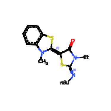 CCCC/N=C1\S/C(=C2/Sc3ccccc3N2C)C(=O)N1CC